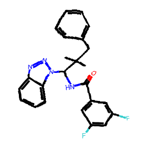 CC(C)(Cc1ccccc1)C(NC(=O)c1cc(F)cc(F)c1)n1nnc2ccccc21